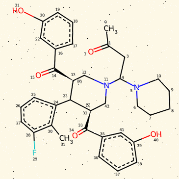 CC(=O)CC(N1CCCCC1)N1C[C@H](C(=O)c2cccc(O)c2)C(c2cccc(F)c2C)[C@H](C(=O)c2cccc(O)c2)C1